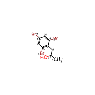 [CH2]C(O)Cc1c(Br)cc(Br)cc1Br